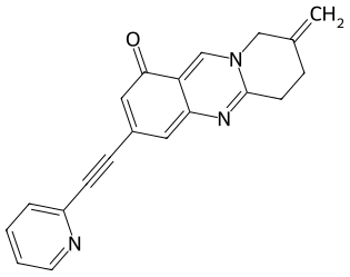 C=C1CCc2nc3cc(C#Cc4ccccn4)cc(=O)c-3cn2C1